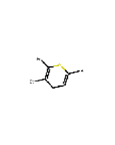 CCC1=C(C(C)C)SC(C(C)C)=CC1